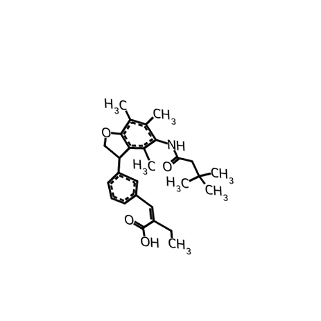 CCC(=Cc1cccc(C2COc3c(C)c(C)c(NC(=O)CC(C)(C)C)c(C)c32)c1)C(=O)O